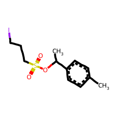 Cc1ccc(C(C)OS(=O)(=O)CCCI)cc1